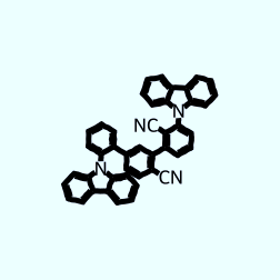 N#Cc1ccc(-c2ccccc2-n2c3ccccc3c3ccccc32)cc1-c1cccc(-n2c3ccccc3c3ccccc32)c1C#N